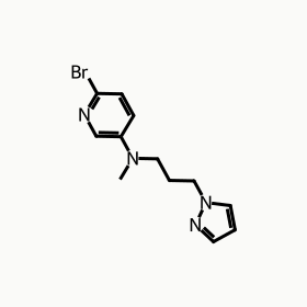 CN(CCCn1cccn1)c1ccc(Br)nc1